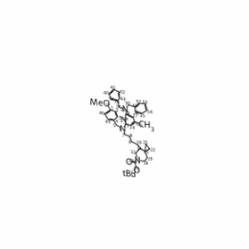 COc1ccc(CN(CCCCC2CN(C(=O)OC(C)(C)C)CCC23CC3)c2cc(C)cc(N(Cc3ccccc3)Cc3ccccc3)n2)cc1